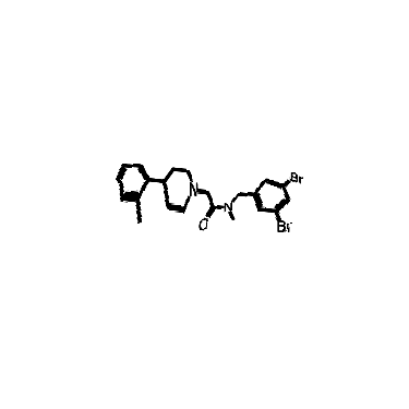 Cc1ccccc1C1CCN(CC(=O)N(C)Cc2cc(Br)cc(Br)c2)CC1